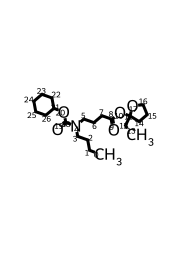 CCCCN(CCCC(=O)OC1(CC)CCCO1)C(=O)OC1CCCCC1